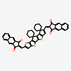 O=C1C(=CC2=Cc3sc4c(c3C23CCCCC3)C2(CCCCC2)c2c-4sc3cc(C=C4C(=O)c5cc6ccccc6cc5C4=O)sc23)C(=O)c2cc3ccccc3cc21